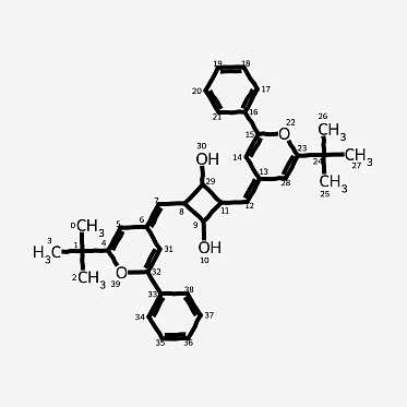 CC(C)(C)C1=C/C(=C/C2C(O)C(/C=C3\C=C(c4ccccc4)OC(C(C)(C)C)=C3)C2O)C=C(c2ccccc2)O1